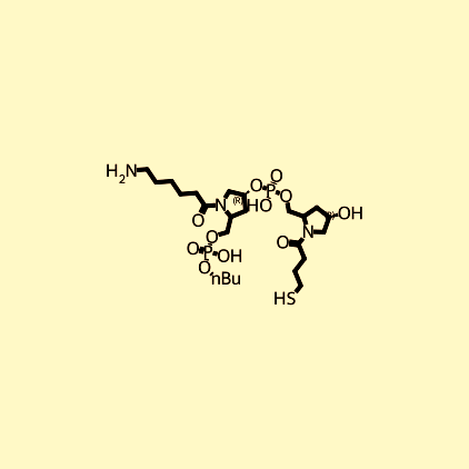 CCCCOP(=O)(O)OCC1C[C@@H](OP(=O)(O)OCC2C[C@@H](O)CN2C(=O)CCCS)CN1C(=O)CCCCCN